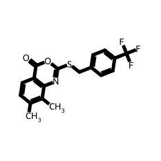 Cc1ccc2c(=O)oc(SCc3ccc(C(F)(F)F)cc3)nc2c1C